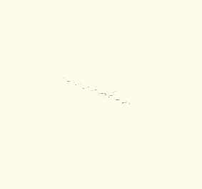 CCCCCCCCCCCCNC(CCC(N)=O)C(=O)O